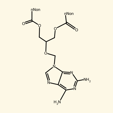 CCCCCCCCCC(=O)OCC(COC(=O)CCCCCCCCC)OCn1cnc2c(N)nc(N)nc21